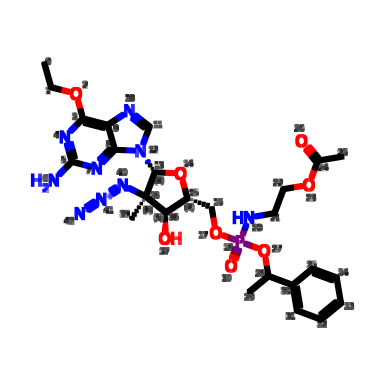 CCOc1nc(N)nc2c1ncn2[C@@H]1O[C@H](COP(=O)(NCCOC(C)=O)OC(C)c2ccccc2)[C@@H](O)[C@@]1(C)N=[N+]=[N-]